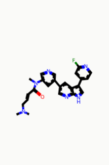 CN(C)C/C=C/C(=O)N(C)c1cncc(-c2cnc3[nH]cc(-c4ccnc(F)c4)c3c2)c1